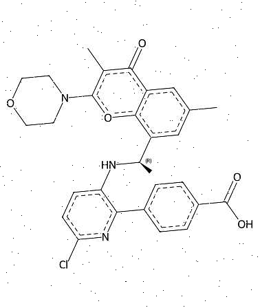 Cc1cc([C@@H](C)Nc2ccc(Cl)nc2-c2ccc(C(=O)O)cc2)c2oc(N3CCOCC3)c(C)c(=O)c2c1